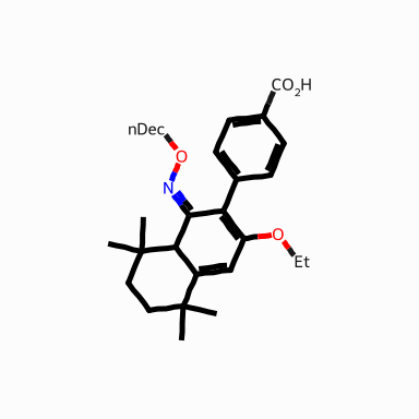 CCCCCCCCCCON=C1C(c2ccc(C(=O)O)cc2)=C(OCC)C=C2C1C(C)(C)CCC2(C)C